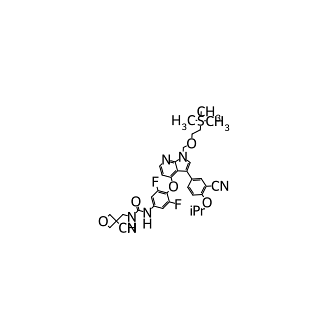 CC(C)Oc1ccc(-c2cn(COCCS(C)(C)C)c3nccc(Oc4c(F)cc(NC(=O)NCC5(C#N)COC5)cc4F)c23)cc1C#N